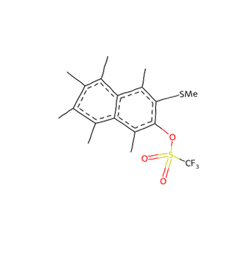 CSc1c(OS(=O)(=O)C(F)(F)F)c(C)c2c(C)c(C)c(C)c(C)c2c1C